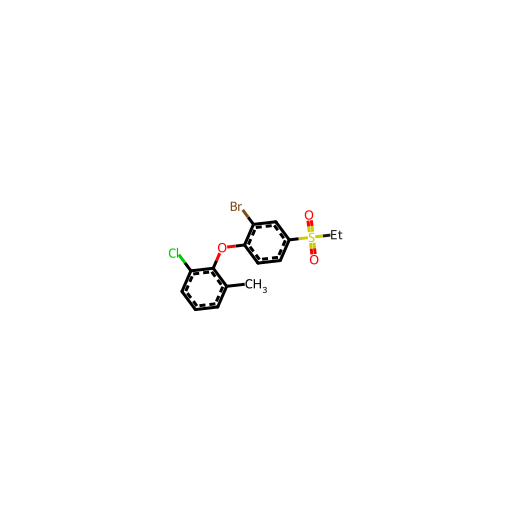 CCS(=O)(=O)c1ccc(Oc2c(C)cccc2Cl)c(Br)c1